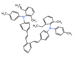 C=Cc1cccc(C)c1N(c1ccc(C)cc1)c1ccc(C=Cc2ccccc2C=Cc2ccc(N(c3ccc(C)cc3)c3c(C)cccc3CC)cc2)cc1